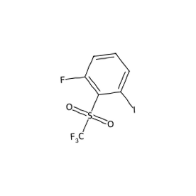 O=S(=O)(c1c(F)cccc1I)C(F)(F)F